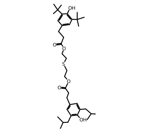 CC(C)Cc1cc(CCC(=O)OCCSCCOC(=O)CCc2cc(C(C)(C)C)c(O)c(C(C)(C)C)c2)cc(CC(C)C)c1O